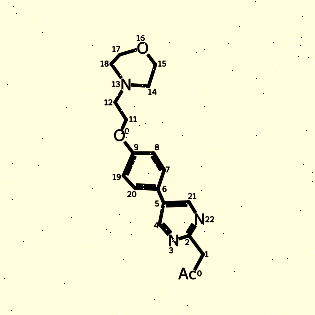 CC(=O)Cc1ncc(-c2ccc(OCCN3CCOCC3)cc2)cn1